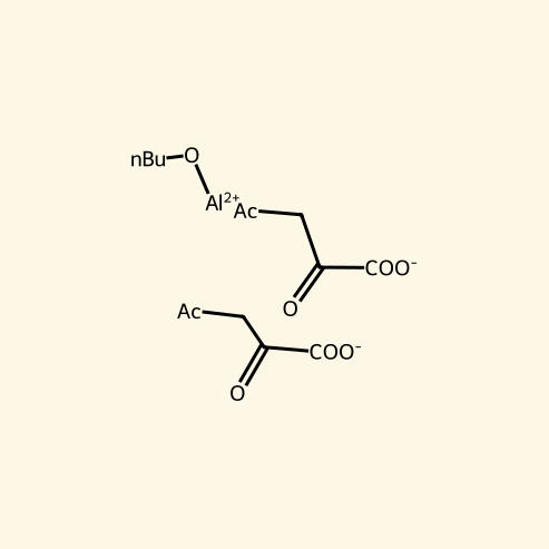 CC(=O)CC(=O)C(=O)[O-].CC(=O)CC(=O)C(=O)[O-].CCCC[O][Al+2]